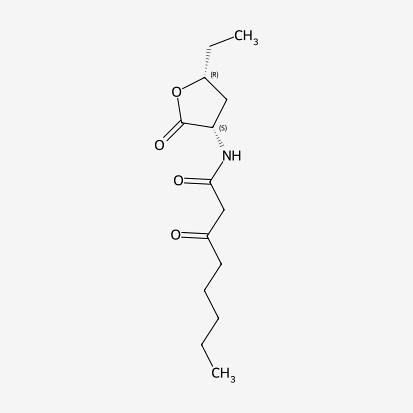 CCCCCC(=O)CC(=O)N[C@H]1C[C@@H](CC)OC1=O